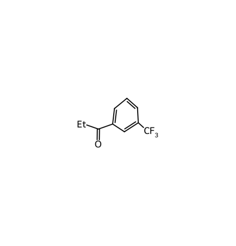 CCC(=O)c1cccc(C(F)(F)F)c1